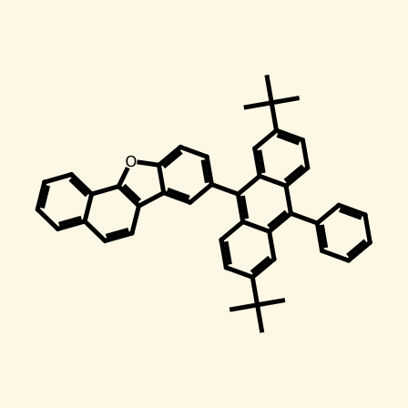 CC(C)(C)c1ccc2c(-c3ccc4oc5c6ccccc6ccc5c4c3)c3cc(C(C)(C)C)ccc3c(-c3ccccc3)c2c1